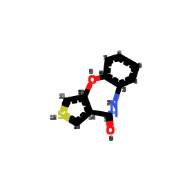 O=C1Nc2ccccc2Oc2cscc21